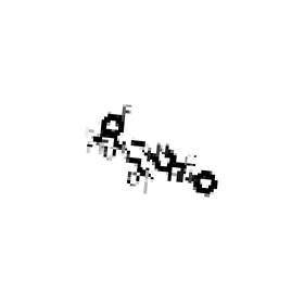 O=C(Nc1ccccc1)c1cnc2c(c1)NC(=O)C1CN(C(=O)c3cc(F)ccc3C(F)(F)F)CCN21